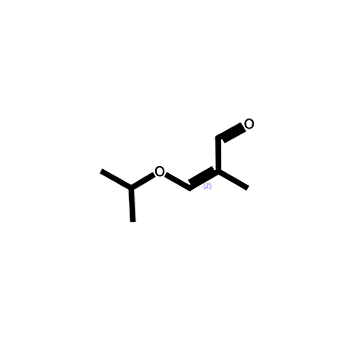 C/C(C=O)=C/OC(C)C